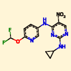 O=[N+]([O-])c1cnc(NC2CC2)nc1Nc1ccc(OC(F)F)nc1